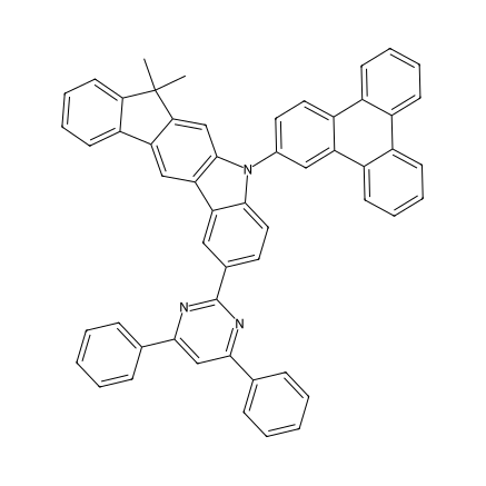 CC1(C)c2ccccc2-c2cc3c4cc(-c5nc(-c6ccccc6)cc(-c6ccccc6)n5)ccc4n(-c4ccc5c6ccccc6c6ccccc6c5c4)c3cc21